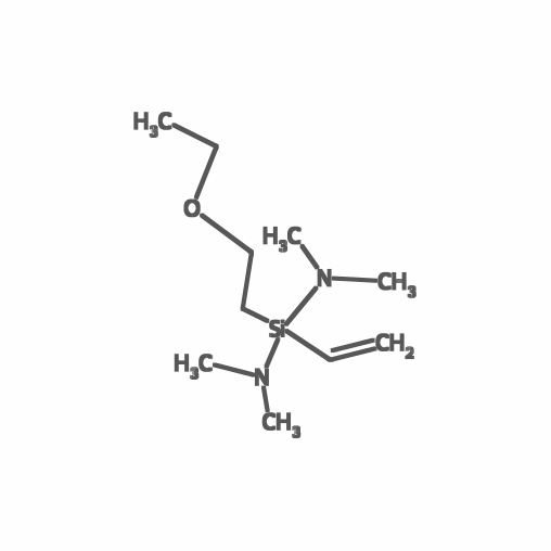 C=C[Si](CCOCC)(N(C)C)N(C)C